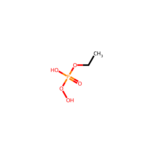 CCOP(=O)(O)OO